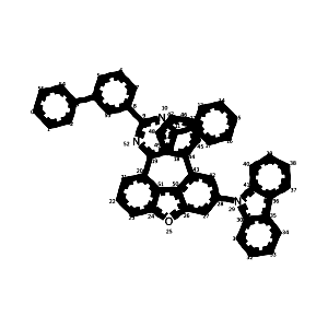 c1ccc(-c2cccc(-c3nc(-c4ccccc4)nc(-c4cccc5oc6cc(-n7c8ccccc8c8ccccc87)cc(-c7ccccc7)c6c45)n3)c2)cc1